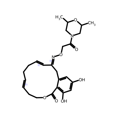 CC1CN(C(=O)CO/N=C2/C=C/CC/C=C/CCOC(=O)c3c(O)cc(O)cc3C2)CC(C)O1